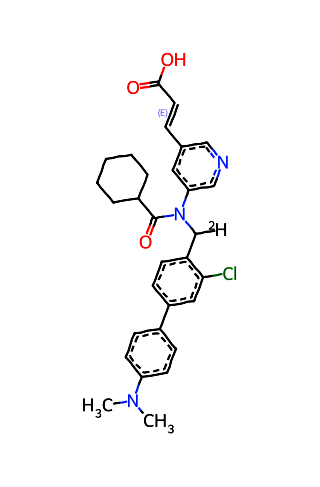 [2H]C(c1ccc(-c2ccc(N(C)C)cc2)cc1Cl)N(C(=O)C1CCCCC1)c1cncc(/C=C/C(=O)O)c1